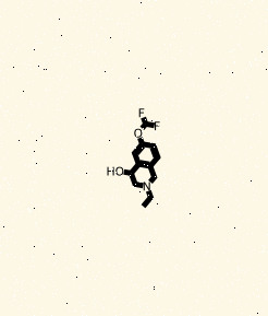 CCN1Cc2ccc(OC(F)F)cc2C(O)C1